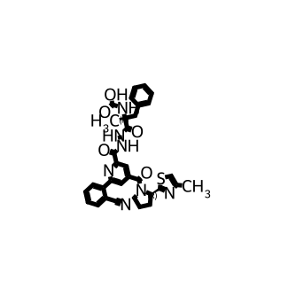 Cc1csc([C@H]2CCCN2C(=O)c2cc(C(=O)NNC(=O)[C@@](C)(Cc3ccccc3)NC(=O)O)nc(-c3ccccc3C#N)c2)n1